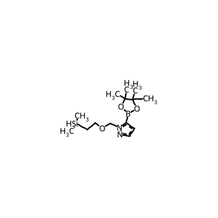 C[SiH](C)CCOCn1nccc1B1OC(C)(C)C(C)(C)O1